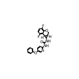 O=C(Nc1ccc(Oc2ccccc2)cn1)N[C@@H]1[C@@H]2COc3c(F)ccc(F)c3[C@@H]21